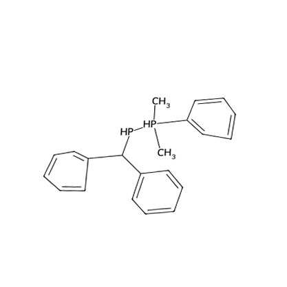 C[PH](C)(PC(c1ccccc1)c1ccccc1)c1ccccc1